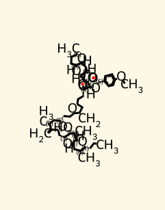 C=C1CC(CC[C@@]23OC4[C@H]5O[C@@H](C)CC[C@@H]5O[C@H]5C(O2)[C@]2(O[C@@H](c6ccc(OC)cc6)O[C@@H]32)O[C@@H]45)OC1CC[C@H]1C[C@@H](C)C(=C)C(C[C@@H]2O[C@H]3C[C@@H](C)[C@@H](CCC)O[C@H]3[C@H](C)[C@H]2O)O1